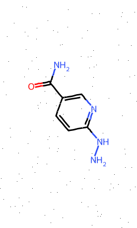 NNc1ccc(C(N)=O)cn1